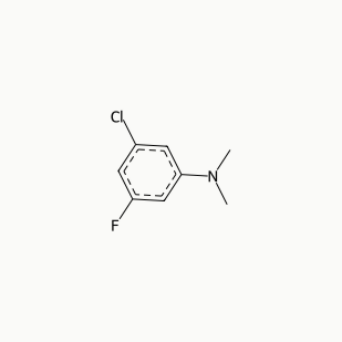 CN(C)c1cc(F)cc(Cl)c1